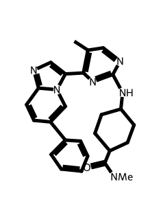 CNC(=O)C1CCC(Nc2ncc(C)c(-c3cnc4ccc(-c5ccccc5)cn34)n2)CC1